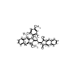 Cc1cc(C)c(N2/C(=C/C=C3C(=O)c4cc5ccccc5cc4C3=O)N(C)c3nc4ccccc4nc32)c(C)c1